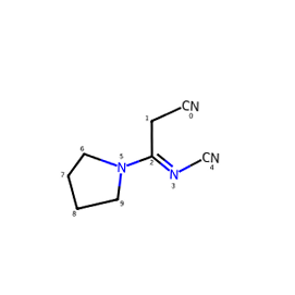 N#CC/C(=N\C#N)N1CCCC1